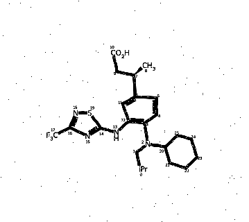 CC(C)CN(c1ccc([C@H](C)CC(=O)O)cc1Nc1nc(C(F)(F)F)ns1)C1CCCCC1